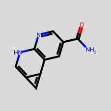 NC(=O)c1cnc2c(c1)C1=CC1=CN2